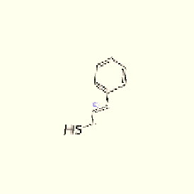 S[CH]/C=C/c1ccccc1